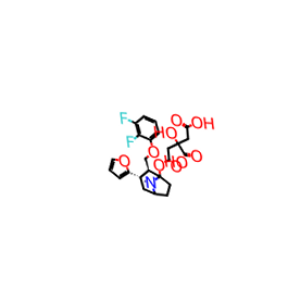 CN1C2CCC1(OC(=O)CC(O)(CC(=O)O)C(=O)O)[C@H](COc1cccc(F)c1F)[C@@H](c1ccco1)C2